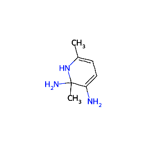 CC1=CC=C(N)C(C)(N)N1